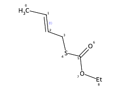 C/C=C/CSC(=O)OCC